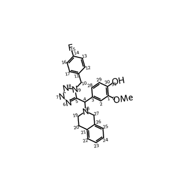 COc1cc(C(c2nnnn2Cc2ccc(F)cc2)N2CCc3ccccc3C2)ccc1O